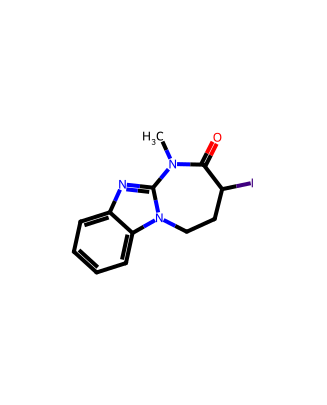 CN1C(=O)C(I)CCn2c1nc1ccccc12